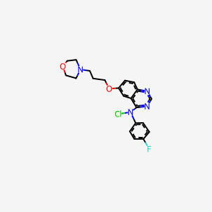 Fc1ccc(N(Cl)c2ncnc3ccc(OCCCN4CCOCC4)cc23)cc1